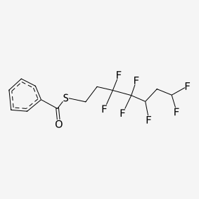 O=C(SCCC(F)(F)C(F)(F)C(F)CC(F)F)c1ccccc1